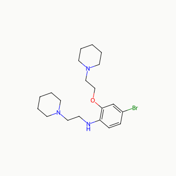 Brc1ccc(NCCN2CCCCC2)c(OCCN2CCCCC2)c1